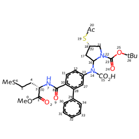 COC(=O)[C@H](CCSC)NC(=O)c1ccc(N(C(=O)O)C2C[C@H](SC(C)=O)CN2C(=O)OC(C)(C)C)cc1-c1ccccc1